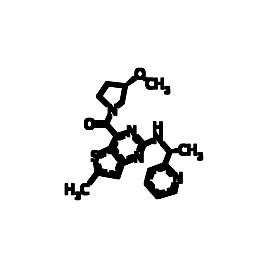 CO[C@@H]1CCN(C(=O)c2nc(N[C@@H](C)c3ccccn3)nc3cc(C)sc23)C1